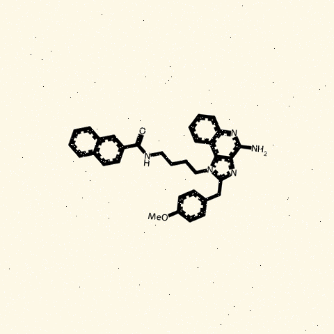 COc1ccc(Cc2nc3c(N)nc4ccccc4c3n2CCCCNC(=O)c2ccc3ccccc3c2)cc1